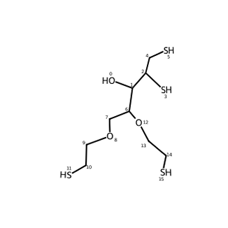 OC(C(S)CS)C(COCCS)OCCS